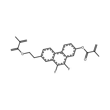 C=C(C)C(=C)OCCc1ccc2c(c1)c(F)c(F)c1cc(OC(=O)C(=C)C)ccc12